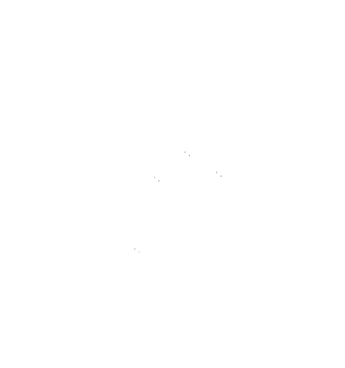 c1ccc2cc(-c3nc(-n4c5ccccc5c5ccc(-n6c7ccccc7c7ccccc76)cc54)c4ccc5ccccc5c4n3)ccc2c1